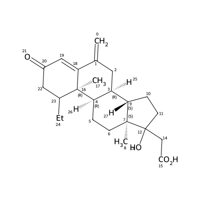 C=C1C[C@@H]2[C@@H](CC[C@@]3(C)[C@H]2CCC3(O)CC(=O)O)[C@]2(C)C1=CC(=O)CC2CC